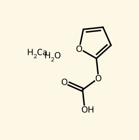 O.O=C(O)Oc1ccco1.[CaH2]